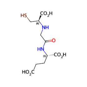 O=C(O)CC[C@H](NC(=O)CN[C@@H](CS)C(=O)O)C(=O)O